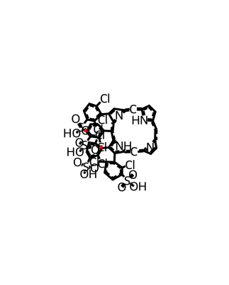 O=S(=O)(O)c1ccc(Cl)c(C2=Cc3cc4ccc(cc5nc(cc6[nH]c(c(-c7c(Cl)ccc(S(=O)(=O)O)c7Cl)c2n3)c(-c2c(Cl)ccc(S(=O)(=O)O)c2Cl)c6-c2c(Cl)ccc(S(=O)(=O)O)c2Cl)C=C5)[nH]4)c1Cl